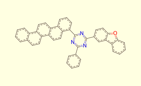 c1ccc(-c2nc(-c3ccc4oc5ccccc5c4c3)nc(-c3cccc4c3ccc3c4ccc4c5ccccc5ccc43)n2)cc1